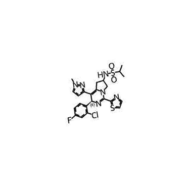 CC(C)S(=O)(=O)NC1CC2=C(c3ccn(C)n3)[C@H](c3ccc(F)cc3Cl)N=C(c3nccs3)N2C1